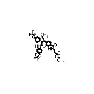 CCC[C@@H](c1ccc(C(=O)NCCC(=O)OCC)cc1)[C@H](C(=O)Nc1ccc(OC(F)(F)F)cc1)c1ccc(OC(F)(F)F)cc1